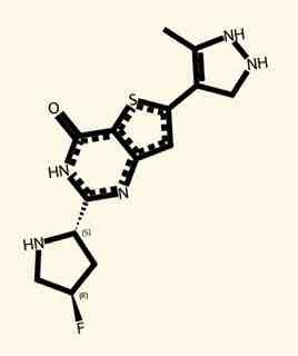 CC1=C(c2cc3nc([C@@H]4C[C@@H](F)CN4)[nH]c(=O)c3s2)CNN1